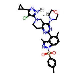 CCn1nc(C2CC2)c(Cl)c1N1CCc2nc(-c3c(C)ccc4c3c(C)nn4S(=O)(=O)c3ccc(C)cc3)nc(N3CCOC[C@H]3C)c2C1